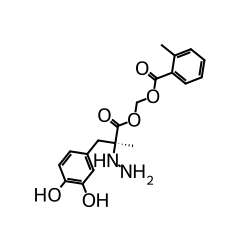 Cc1ccccc1C(=O)OCOC(=O)[C@](C)(Cc1ccc(O)c(O)c1)NN